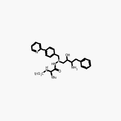 CCOC(=O)NC(C(=O)NN(Cc1ccc(-c2ccccn2)cc1)CC(O)C(N)Cc1ccccc1)C(C)(C)C